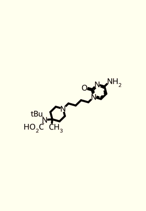 CC(C)(C)N(C(=O)O)C1(C)CCN(CCCCn2ccc(N)nc2=O)CC1